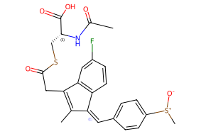 CC(=O)N[C@H](CSC(=O)CC1=C(C)/C(=C/c2ccc([S+](C)[O-])cc2)c2ccc(F)cc21)C(=O)O